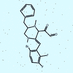 CN1CC(Cc2ccccc2)N(C)C(C(=O)C=O)C1=Cc1c(Br)ccc(F)c1F